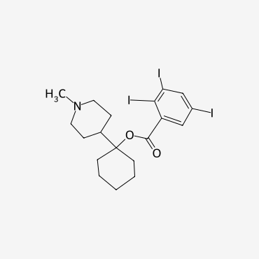 CN1CCC(C2(OC(=O)c3cc(I)cc(I)c3I)CCCCC2)CC1